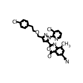 Cc1cc(C#N)cc2c(=O)oc(-c3cc(COCCc4ccc(Cl)cc4)nn3-c3ncccc3Cl)nc12